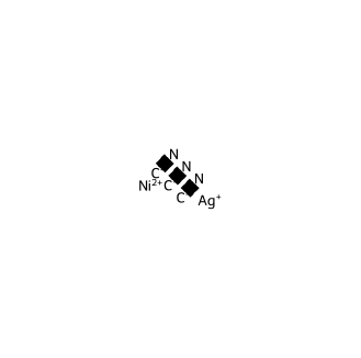 [Ag+].[C-]#N.[C-]#N.[C-]#N.[Ni+2]